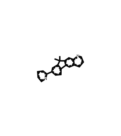 CC1(C)c2cc(-c3ccccn3)ccc2-c2cc3cccnc3cc21